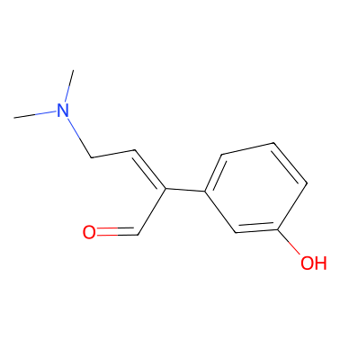 CN(C)CC=C(C=O)c1cccc(O)c1